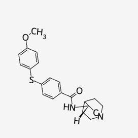 COc1ccc(Sc2ccc(C(=O)N[C@H]3CN4CCC3CC4)cc2)cc1